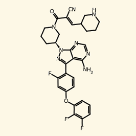 N#CC(=CC1CCCNC1)C(=O)N1CCC[C@H](n2nc(-c3ccc(Oc4cccc(F)c4F)cc3F)c3c(N)ncnc32)C1